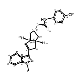 Cn1nc(C2=C[C@@H]3C[C@H](CC(=O)Nc4ccc(Cl)cc4)C[C@@H]3C2)c2ccccc21